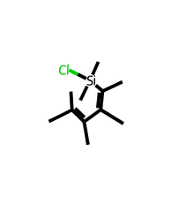 CC(C)=C(C)C(C)=C(C)[Si](C)(C)Cl